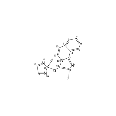 Cc1nc2c3ccccc3ccn2c1CC1(C)N=CC=N1